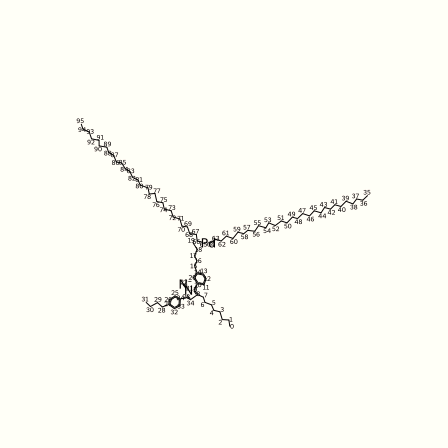 CCCCCCCCC1=C(c2cccc(CCCCC)c2)[N+](=[N-])C(c2ccc(CCCC)cc2)=C1.CCCCCCCCCCCCCCCCCCCCCCCCCCCCC[CH2][Pd][CH2]CCCCCCCCCCCCCCCCCCCCCCCCCCCCC